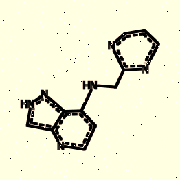 c1cnc(CNc2ccnc3c[nH]nc23)nc1